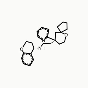 c1ccc([C@]2(CCN[C@H]3CCOc4ccccc43)CCOC3(CCCC3)C2)nc1